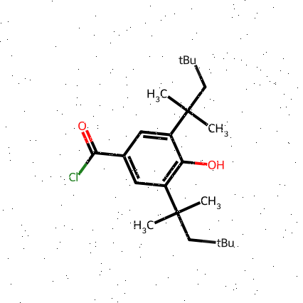 CC(C)(C)CC(C)(C)c1cc(C(=O)Cl)cc(C(C)(C)CC(C)(C)C)c1O